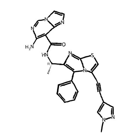 C[C@H](NC(=O)c1c(N)ncn2ccnc12)c1nc2scc(C#Cc3cnn(C)c3)n2c1-c1ccccc1